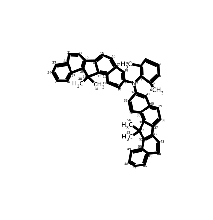 Cc1cccc(C)c1N(c1ccc2c3c(ccc2c1)-c1ccc2ccccc2c1C3(C)C)c1ccc2c3c(ccc2c1)-c1ccc2ccccc2c1C3(C)C